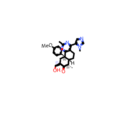 COc1ccc([C@]23C/C(=C/O)C(=O)[C@@H](C)[C@@H]2CCc2c(-c4cncn4C)nc(C)nc23)cc1